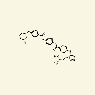 CC1CCCN(Cc2ccc(C(=O)Nc3ccc(OC(=O)N4CCC(Sc5nnnn5CCN(C)C)CC4)nc3)cc2)C1